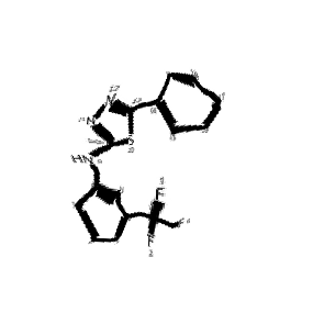 FC(F)(F)c1cccc(Nc2nnc(-c3ccccc3)s2)c1